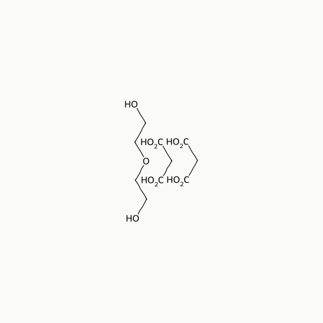 O=C(O)CC(=O)O.O=C(O)CC(=O)O.OCCOCCO